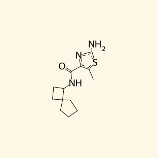 Cc1sc(N)nc1C(=O)NC1CCC12CCCC2